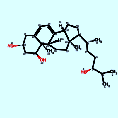 CC(C)[C@H](O)CC[C@@H](C)[C@H]1CC[C@H]2C3=CC=C4C[C@@H](O)C[C@H](O)[C@]4(C)[C@H]3CC[C@]12C